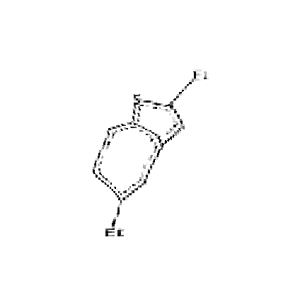 CCc1ccc2sc(CC)cc2c1